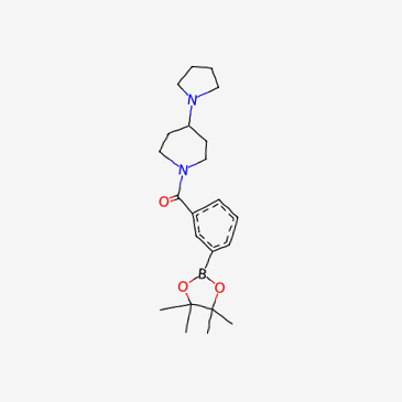 CC1(C)OB(c2cccc(C(=O)N3CCC(N4CCCC4)CC3)c2)OC1(C)C